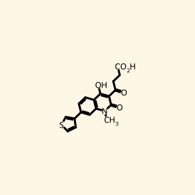 Cn1c(=O)c(C(=O)CCC(=O)O)c(O)c2ccc(-c3ccsc3)cc21